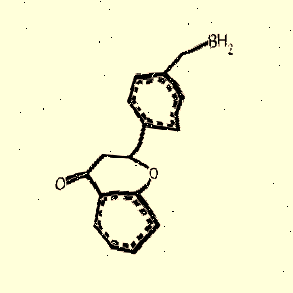 BCc1ccc(C2CC(=O)c3ccccc3O2)cc1